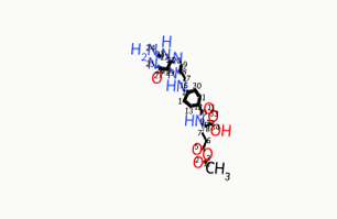 CC(=O)OC(=O)CC[C@H](NC(=O)c1ccc(NCc2cnc3[nH]c(N)nc(=O)c3n2)cc1)C(=O)O